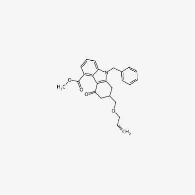 C=CCOCC1CC(=O)c2c(n(Cc3ccccc3)c3cccc(C(=O)OC)c23)C1